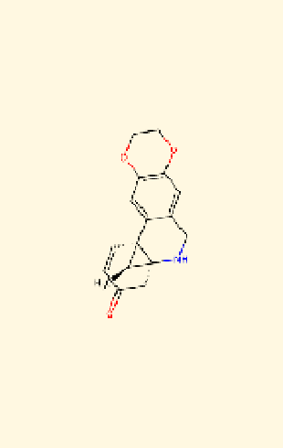 C[C@@H]1[C@@]23CC(=O)C=C[C@@]12c1cc2c(cc1CN3)OCCO2